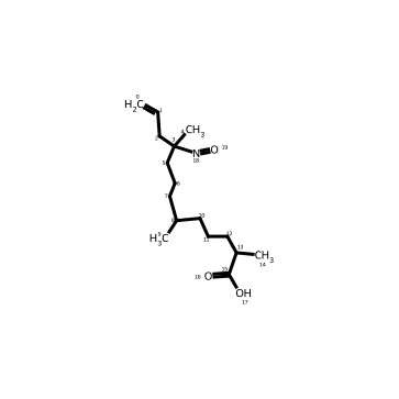 C=CCC(C)(CCCC(C)CCCC(C)C(=O)O)N=O